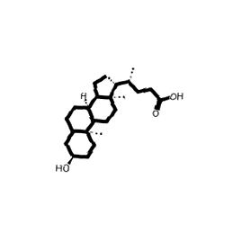 C[C@H](CCC(=O)O)[C@H]1CCC2[C@@H]3CCC4C[C@H](O)CC[C@]4(C)C3CC[C@@]21C